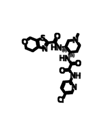 CN1CC[C@H](NC(=O)C(=O)Nc2ccc(Cl)cn2)[C@H](NC(=O)c2nc3c(s2)COCC3)C1